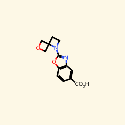 O=C(O)c1ccc2oc(N3CCC34COC4)nc2c1